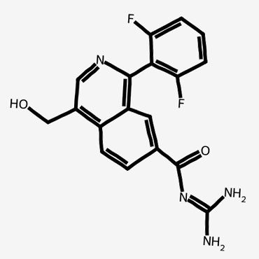 NC(N)=NC(=O)c1ccc2c(CO)cnc(-c3c(F)cccc3F)c2c1